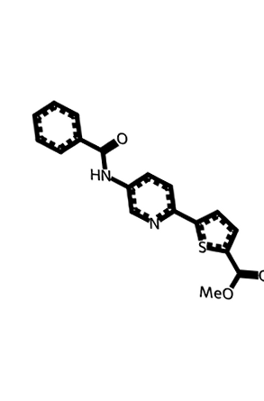 COC(=O)c1ccc(-c2ccc(NC(=O)c3ccccc3)cn2)s1